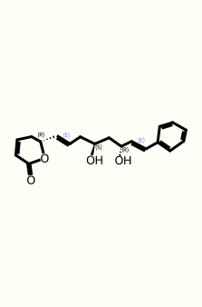 O=C1C=CC[C@H](/C=C/C[C@H](O)C[C@@H](O)/C=C/c2ccccc2)O1